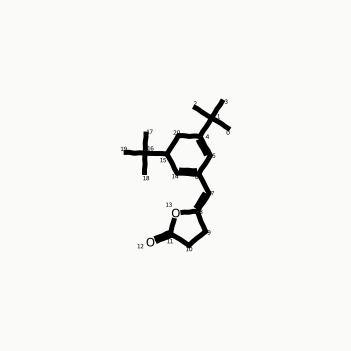 CC(C)(C)C1=CC(C=C2CCC(=O)O2)=CC(C(C)(C)C)C1